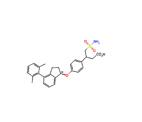 Cc1cccc(C)c1-c1cccc2c1CC[C@H]2Oc1ccc(C(CC(=O)O)CS(N)(=O)=O)cc1